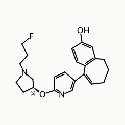 Oc1ccc2c(c1)CCCC=C2c1ccc(O[C@H]2CCN(CCCF)C2)nc1